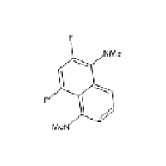 CNc1c(F)cc(F)c2c(NC)cccc12